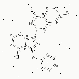 O=c1[nH]c(-c2cn(Cc3ccccc3)c3c(Cl)cccc23)nc2cc(Cl)ccc12